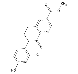 COC(=O)c1ccc2c(c1)CCC(c1ccc(O)cc1Cl)C2=O